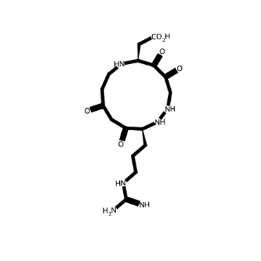 N=C(N)NCCC[C@@H]1NNCC(=O)C(=O)[C@H](CC(=O)O)NCCC(=O)CC1=O